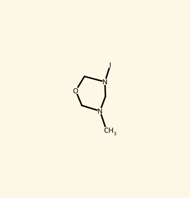 CN1COCN(I)C1